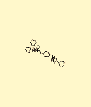 O=S(=O)(NC=Cc1ccc(Cn2cc(-c3cccnc3)nn2)cc1)c1ccccc1-c1ccccc1